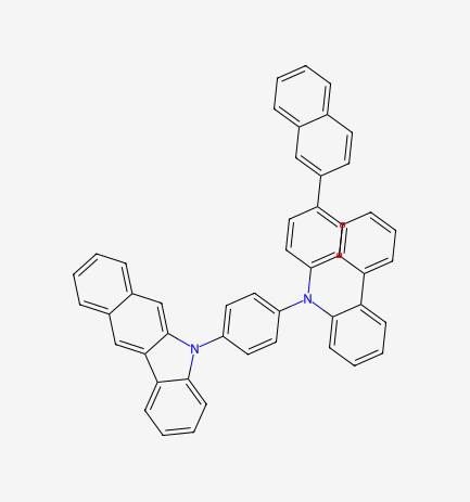 c1ccc(-c2ccccc2N(c2ccc(-c3ccc4ccccc4c3)cc2)c2ccc(-n3c4ccccc4c4cc5ccccc5cc43)cc2)cc1